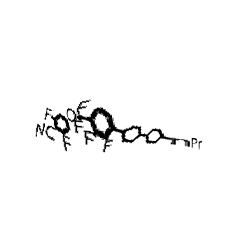 CCCC1CCC(C2CCC(c3ccc(C(F)(F)Oc4cc(F)c(C#N)c(F)c4)c(F)c3F)CC2)CC1